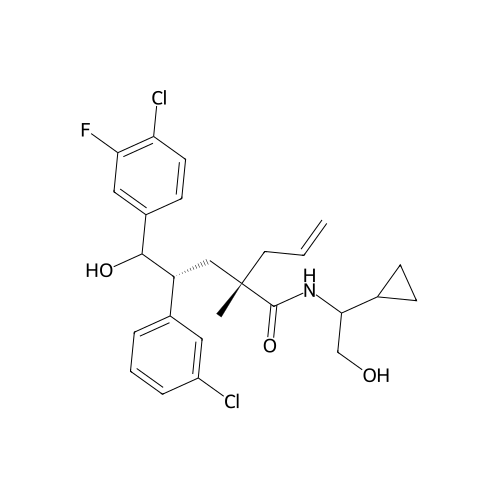 C=CC[C@@](C)(C[C@H](c1cccc(Cl)c1)C(O)c1ccc(Cl)c(F)c1)C(=O)NC(CO)C1CC1